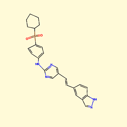 O=S(=O)(c1ccc(Nc2ncc(/C=C/c3ccc4[nH]ncc4c3)cn2)cc1)C1CCCCC1